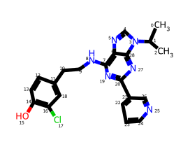 CC(C)n1cnc2c(NCCc3ccc(O)c(Cl)c3)nc(-c3cccnc3)nc21